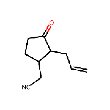 C=CCC1C(=O)CCC1CC#N